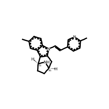 Cc1ccc2c(c1)c1c(n2C=Cc2ccc(C)nc2)C[C@H]2CC[C@@H]1N2